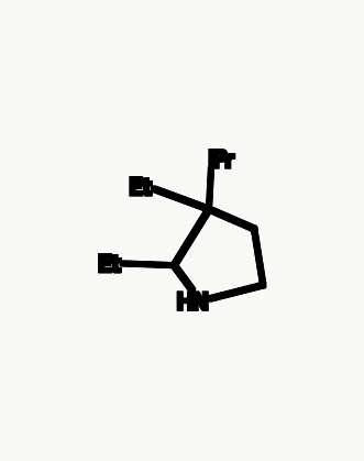 CCC1NCCC1(CC)C(C)C